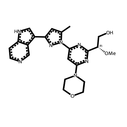 CO[C@@H](CO)c1nc(N2CCOCC2)cc(-n2nc(-c3c[nH]c4ccncc34)cc2C)n1